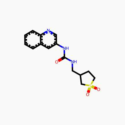 O=C(NCC1CCS(=O)(=O)C1)Nc1cnc2ccccc2c1